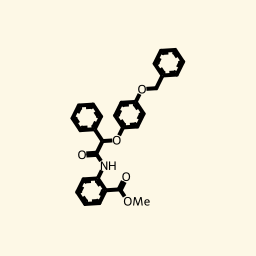 COC(=O)c1ccccc1NC(=O)C(Oc1ccc(OCc2ccccc2)cc1)c1ccccc1